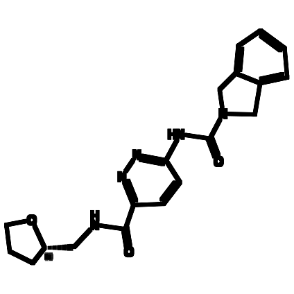 O=C(NC[C@@H]1CCCO1)c1ccc(NC(=O)N2Cc3ccccc3C2)nn1